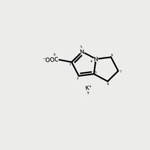 O=C([O-])c1cc2n(n1)CCC2.[K+]